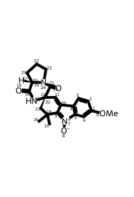 COc1ccc2c(c1)[N+]([O-])=C1C2=C[C@]2(CC1(C)C)NC(=O)[C@@H]1CCCN1C2=O